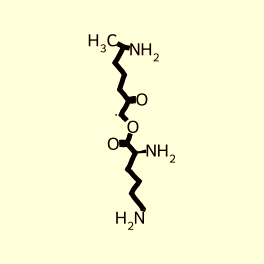 CC(N)CCCC(=O)[CH]OC(=O)[C@@H](N)CCCCN